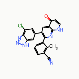 Cc1c(C#N)cccc1-c1nc2[nH]ccc(=O)c2cc1-c1cc(Cl)c2nn[nH]c2c1